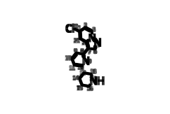 Clc1ccn2ncc(-c3cccc([C@H]4CCCNC4)n3)c2c1